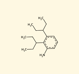 CCC(CC)c1cccc(N)c1C(CC)CC